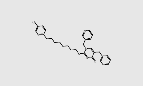 O=c1nc(SCCCCCCCCc2ccc(Cl)cc2)n(Cc2cccnc2)cc1Cc1ccccc1